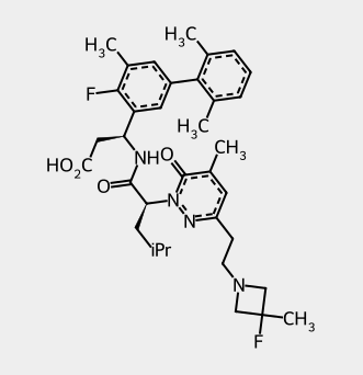 Cc1cc(-c2c(C)cccc2C)cc([C@H](CC(=O)O)NC(=O)[C@H](CC(C)C)n2nc(CCN3CC(C)(F)C3)cc(C)c2=O)c1F